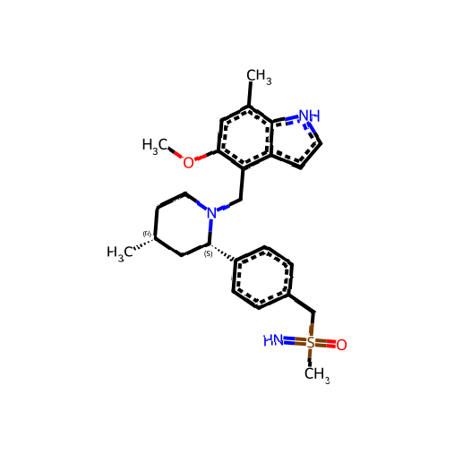 COc1cc(C)c2[nH]ccc2c1CN1CC[C@@H](C)C[C@H]1c1ccc(CS(C)(=N)=O)cc1